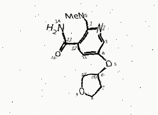 CNc1ncc(O[C@H]2CCOC2)cc1C(N)=O